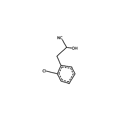 N#CC(O)Cc1ccccc1Cl